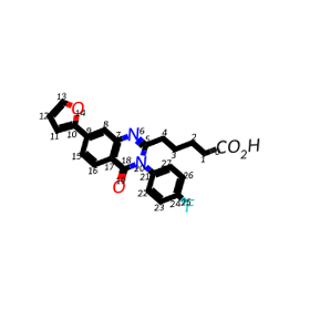 O=C(O)CCCCc1nc2cc(-c3ccco3)ccc2c(=O)n1-c1ccc(F)cc1